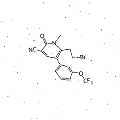 Cn1c(CCBr)c(-c2cccc(OC(F)(F)F)c2)cc(C#N)c1=O